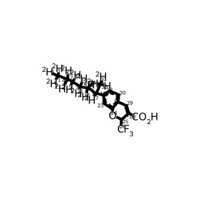 [2H]C([2H])([2H])C([2H])([2H])C([2H])([2H])C([2H])([2H])C([2H])([2H])C([2H])(c1ccc2c(c1)OC(C(F)(F)F)C(C(=O)O)=C2)C([2H])([2H])[2H]